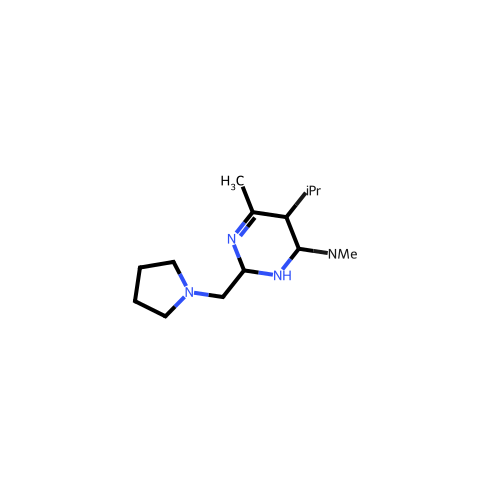 CNC1NC(CN2CCCC2)N=C(C)C1C(C)C